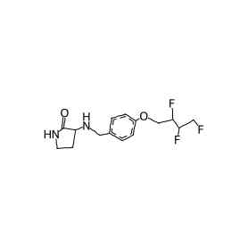 O=C1NCCC1NCc1ccc(OCC(F)C(F)CF)cc1